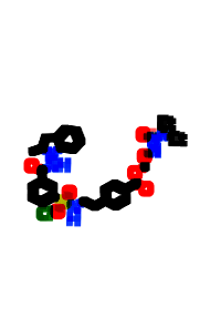 CCN(CC)[N+]([O-])=NOCOC(=O)c1ccc(CCNS(=O)(=O)c2cc(C(=O)NN3c4ccccc4CC3C)ccc2Cl)cc1